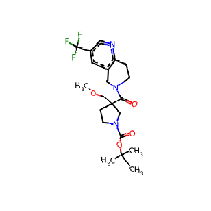 COCC1(C(=O)N2CCc3ncc(C(F)(F)F)cc3C2)CCN(C(=O)OC(C)(C)C)C1